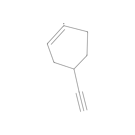 C#CC1CC=[C]CC1